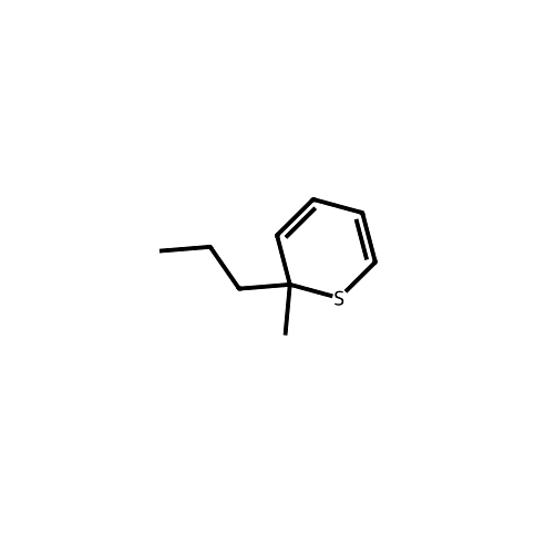 CCCC1(C)C=CC=CS1